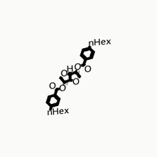 CCCCCCc1ccc(C(=O)O[C@H]2COC3[C@H](OC(=O)c4ccc(CCCCCC)cc4)CO[C@@H]32)cc1